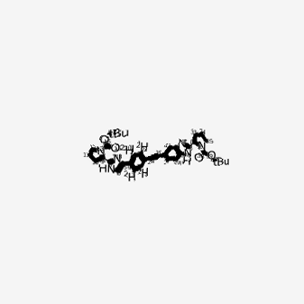 [2H]c1c([2H])c(-c2c[nH]c([C@@H]3CCCN3C(=O)OC(C)(C)C)n2)c([2H])c([2H])c1C#Cc1ccc2[nH]c([C@@H]3CCCN3C(=O)OC(C)(C)C)nc2c1